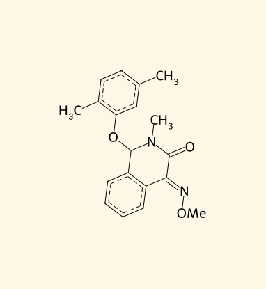 CO/N=C1/C(=O)N(C)C(Oc2cc(C)ccc2C)c2ccccc21